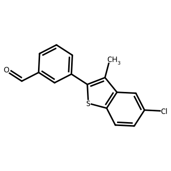 Cc1c(-c2cccc(C=O)c2)sc2ccc(Cl)cc12